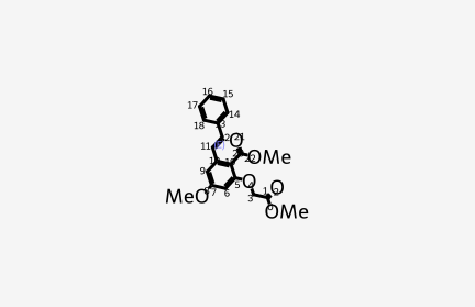 COC(=O)COc1cc(OC)cc(/C=C/c2ccccc2)c1C(=O)OC